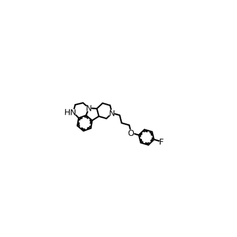 Fc1ccc(OCCCN2CCC3C(C2)c2cccc4c2N3CCN4)cc1